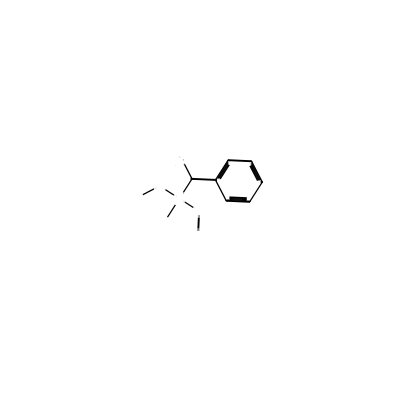 CCO[Si](C)(OCC)C(N)c1ccccc1